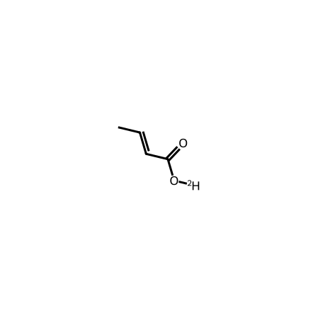 [2H]OC(=O)C=CC